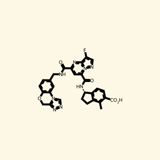 Cc1c(C(=O)O)ccc2c1CC[C@@H]2NC(=O)c1cc(C(=O)NCc2ccc3c(c2)-n2cnnc2CO3)nc2c(F)cnn12